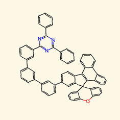 c1ccc(-c2nc(-c3ccccc3)nc(-c3cccc(-c4cccc(-c5cccc(-c6ccc7c(c6)C6(c8ccccc8Oc8ccccc86)c6c-7c7ccccc7c7ccccc67)c5)c4)c3)n2)cc1